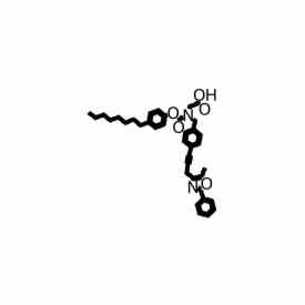 CCCCCCCCc1ccc(OC(=O)N(CC(=O)O)Cc2ccc(C#CCc3nc(-c4ccccc4)oc3C)cc2)cc1